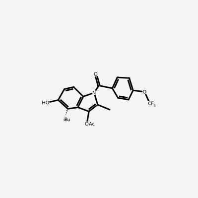 CC[C@@H](C)c1c(O)ccc2c1c(OC(C)=O)c(C)n2C(=O)c1ccc(OC(F)(F)F)cc1